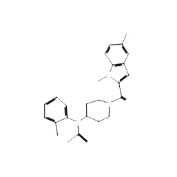 CC(=O)N(c1ccccc1C)C1CCN(C(=O)c2cc3cc(Cl)ccc3n2C)CC1